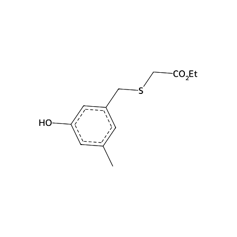 CCOC(=O)CSCc1cc(C)cc(O)c1